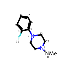 CNN1CCN(c2ccccc2F)CC1